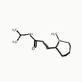 CC(C)NC(=O)/C=C/C1CCCN1C